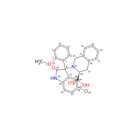 COc1ccccc1C1(N2Cc3ccccc3C[C@H]2C(=O)O)C(=O)Nc2ccc(Cl)cc21